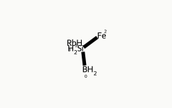 B[SiH2][Fe].[RbH]